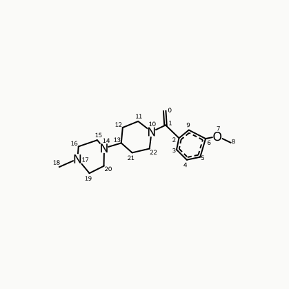 C=C(c1cccc(OC)c1)N1CCC(N2CCN(C)CC2)CC1